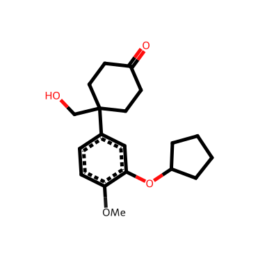 COc1ccc(C2(CO)CCC(=O)CC2)cc1OC1CCCC1